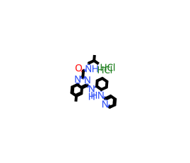 Cc1ccc2nc(C(=O)NCC(C)C)nc(N[C@H]3CCCC[C@H]3Nc3ccccn3)c2c1.Cl.Cl